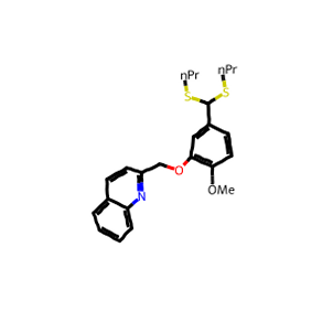 CCCSC(SCCC)c1ccc(OC)c(OCc2ccc3ccccc3n2)c1